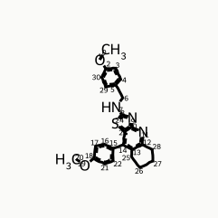 COc1ccc(CNc2nc3nc4c(c(-c5ccc(OC)cc5)c3s2)CCCC4)cc1